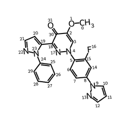 COc1cn(-c2ccc(-n3cccn3)cc2F)nc(-c2ccnn2-c2ccccc2)c1=O